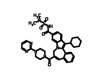 CN(C)S(=O)(=O)NC(=O)c1ccc2c(C3CCCCC3)c3n(c2c1)CC(C(=O)N1CCN(c2ncccn2)CC1)=Cc1ccccc1-3